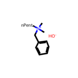 CCCCC[N+](C)(C)Cc1ccccc1.[OH-]